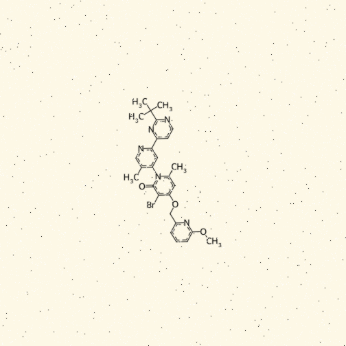 COc1cccc(COc2cc(C)n(-c3cc(-c4ccnc(C(C)(C)C)n4)ncc3C)c(=O)c2Br)n1